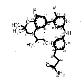 CCC(C)N1CC(C)(C)Oc2c(F)cc(-c3nc(Nc4ccc(CCC(N)=O)cn4)ncc3F)cc21